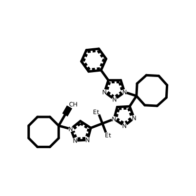 C#CC1(n2cc(C(CC)(CC)n3cc(C4(n5cc(-c6ccccc6)nn5)CCCCCCC4)nn3)nn2)CCCCCCC1